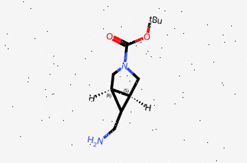 CC(C)(C)OC(=O)N1C[C@@H]2C(CN)[C@@H]2C1